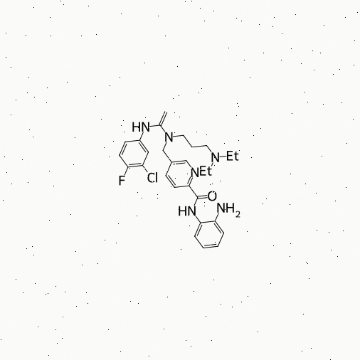 C=C(Nc1ccc(F)c(Cl)c1)N(CCCN(CC)CC)Cc1ccc(C(=O)Nc2ccccc2N)nc1